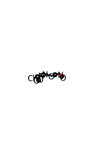 Clc1ccc(N2CCN(CCCOc3ccc(CN4CCOCC4)cc3)CC2)c2c1OCCO2